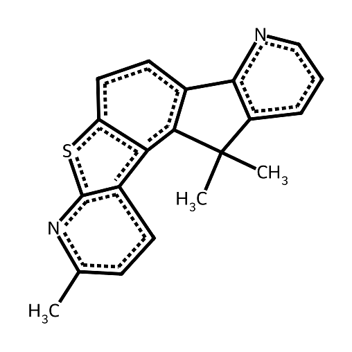 Cc1ccc2c(n1)sc1ccc3c(c12)C(C)(C)c1cccnc1-3